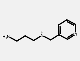 NCCCNCc1cccnc1